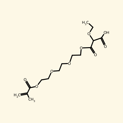 C=C(C)C(=O)OCCOCCOCCOC(=O)C(OCC)C(=O)O